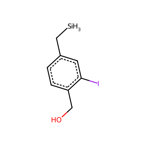 OCc1ccc(C[SiH3])cc1I